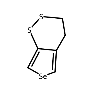 c1[se]cc2c1CCSS2